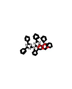 c1ccc(-c2nc(-c3ccccc3)nc(N(c3nc(-c4ccccc4)nc(-c4ccccc4)n3)c3ccccc3-c3ccc(N(c4ccccc4)c4ccccc4)cc3)n2)cc1